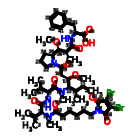 C=C(C)[C@@H](C(=O)N[C@H](C(=O)N(C)[C@@H]([C@H](C)CC)[C@@H](CC(=O)N1CCC[C@H]1[C@H](OC)[C@@H](C)C(=O)N[C@@H](Cc1ccccc1)C(=O)O)OC)C(C)C)N(C)C(=O)CCCCCN1C(=O)C(Br)=C(Br)C1=O